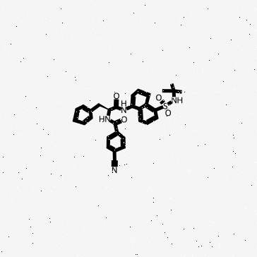 CC(C)(C)NS(=O)(=O)c1cccc2c(NC(=O)[C@H](Cc3ccccc3)NC(=O)c3ccc(C#N)cc3)cccc12